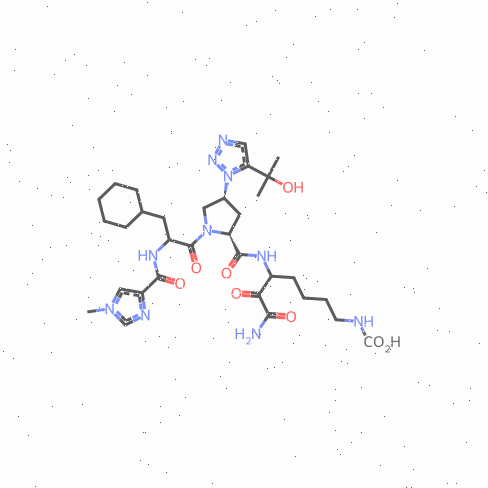 Cn1cnc(C(=O)NC(CC2CCCCC2)C(=O)N2C[C@@H](n3nncc3C(C)(C)O)C[C@H]2C(=O)NC(CCCCNC(=O)O)C(=O)C(N)=O)c1